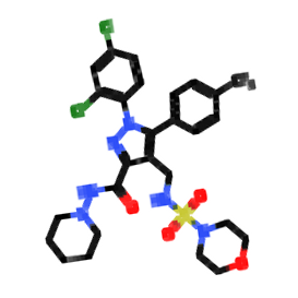 O=C(NN1CCCCC1)c1nn(-c2ccc(Cl)cc2Cl)c(-c2ccc(C(F)(F)F)cc2)c1CNS(=O)(=O)N1CCOCC1